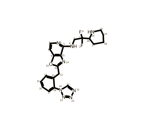 FC(F)(CNc1nccc2oc(Cc3ccccc3-n3cnnn3)nc12)C1CCCCN1